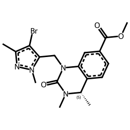 COC(=O)c1ccc2c(c1)N(Cc1c(Br)c(C)nn1C)C(=O)N(C)[C@H]2C